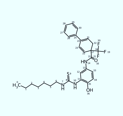 CCCCCCCNC(=S)Nc1cc(NC(=O)C2(C(F)(F)F)C=CC(c3ccccc3)=CC2)ccc1O